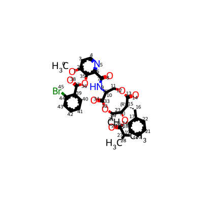 COc1ccnc(C(=O)N[C@H]2COC(=O)[C@H](Cc3ccccc3)[C@@H](OC(=O)C(C)C)[C@H](C)OC2=O)c1OC(=O)c1ccccc1Br